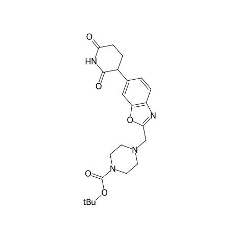 CC(C)(C)OC(=O)N1CCN(Cc2nc3ccc(C4CCC(=O)NC4=O)cc3o2)CC1